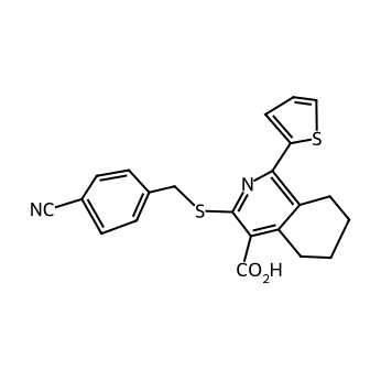 N#Cc1ccc(CSc2nc(-c3cccs3)c3c(c2C(=O)O)CCCC3)cc1